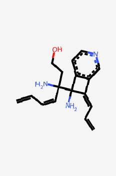 C=C/C=C\C(N)(CCO)C1(N)/C(=C\C=C)c2cnccc21